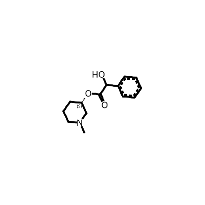 CN1CCC[C@H](OC(=O)C(O)c2ccccc2)C1